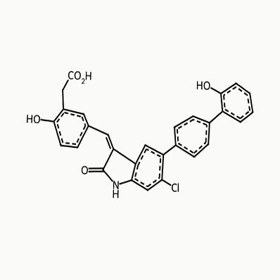 O=C(O)Cc1cc(C=C2C(=O)Nc3cc(Cl)c(-c4ccc(-c5ccccc5O)cc4)cc32)ccc1O